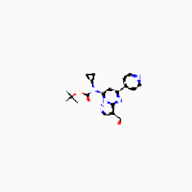 CC(C)(C)OC(=O)N(c1cc(-c2ccncc2)nc2c(C=O)cnn12)C1CC1